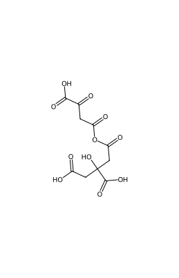 O=C(O)CC(O)(CC(=O)OC(=O)CC(=O)C(=O)O)C(=O)O